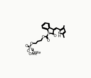 COOP(=O)(OCCCOC(=O)N1C(=O)/C(=C\c2[nH]c(C)cc2C)c2ccccc21)OOC